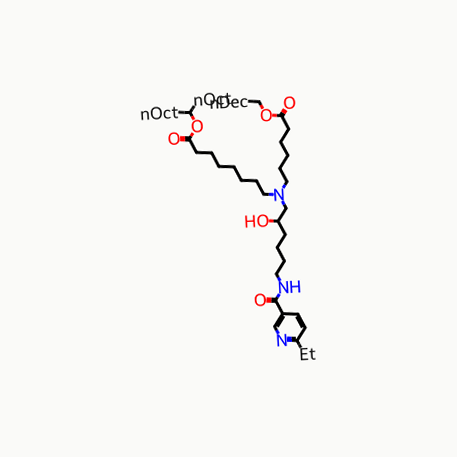 CCCCCCCCCCCOC(=O)CCCCCN(CCCCCCCC(=O)OC(CCCCCCCC)CCCCCCCC)CC(O)CCCCNC(=O)c1ccc(CC)nc1